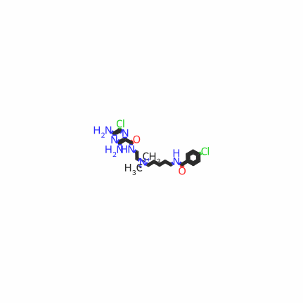 C[N+](C)(CCCCCNC(=O)c1ccc(Cl)cc1)CCNC(=O)c1nc(Cl)c(N)nc1N